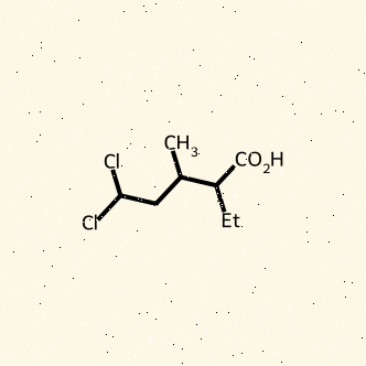 CCC(C(=O)O)C(C)CC(Cl)Cl